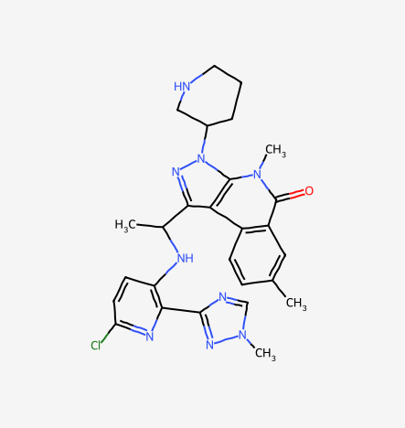 Cc1ccc2c(c1)c(=O)n(C)c1c2c(C(C)Nc2ccc(Cl)nc2-c2ncn(C)n2)nn1C1CCCNC1